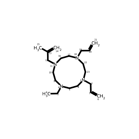 C=CCN1CCN(CC)CCN(CC(=C)C)CCN(CC=C)CC1